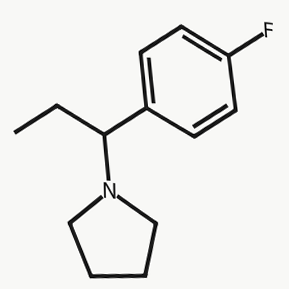 CCC(c1ccc(F)cc1)N1CCCC1